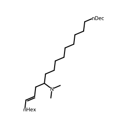 CCCCCCC=CCC(CCCCCCCCCCCCCCCCCCC)N(C)C